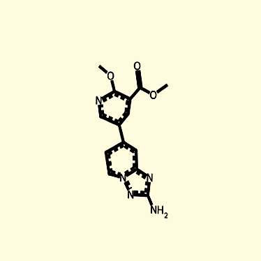 COC(=O)c1cc(-c2ccn3nc(N)nc3c2)cnc1OC